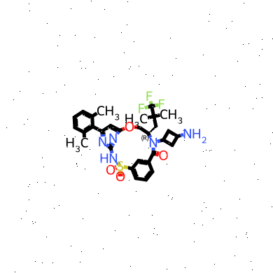 Cc1cccc(C)c1-c1cc2nc(n1)NS(=O)(=O)c1cccc(c1)C(=O)N(C1CC(N)C1)[C@H](CC(C)(C)C(F)(F)F)CO2